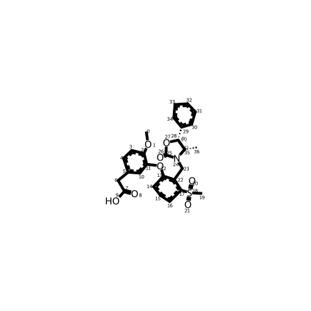 COc1ccc(CC(=O)O)cc1Oc1cccc(S(C)(=O)=O)c1CN1C(=O)O[C@H](c2ccccc2)[C@@H]1C